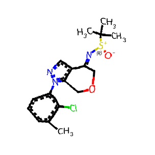 Cc1cccc(-n2ncc3c2COCC3=N[S@@+]([O-])C(C)(C)C)c1Cl